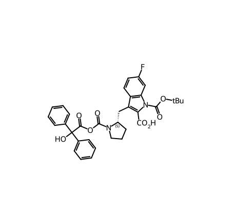 CC(C)(C)OC(=O)n1c(C(=O)O)c(C[C@@H]2CCCN2C(=O)OC(=O)C(O)(c2ccccc2)c2ccccc2)c2ccc(F)cc21